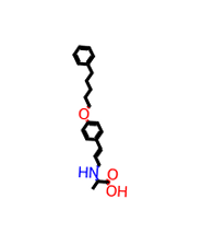 CC(NCC=Cc1ccc(OCCCCCc2ccccc2)cc1)C(=O)O